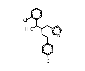 CC(c1ccccc1Cl)C(CCc1ccc(Cl)cc1)Cn1ccnc1